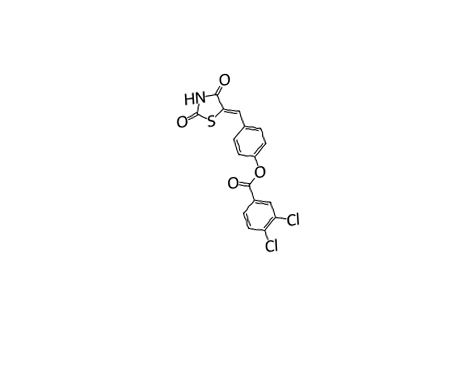 O=C1NC(=O)/C(=C/c2ccc(OC(=O)c3ccc(Cl)c(Cl)c3)cc2)S1